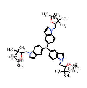 C[SiH](C)OC(Cn1ccc2c[c]([Bi]([c]3ccc4c(ccn4CC(O[SiH](C)C)C(C)(C)C)c3)[c]3ccc4c(ccn4CC(O[SiH](C)C)C(C)(C)C)c3)ccc21)C(C)(C)C